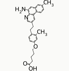 Cc1ccc2c(c1)cc(N)c1ncc(CCc3ccc(OCCCCC(=O)O)cc3C)cc12